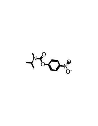 CC(C)N(C)C(=O)Oc1ccc([N+](=O)[O-])cc1